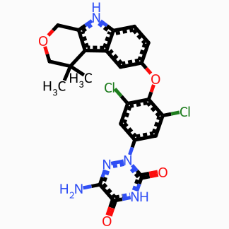 CC1(C)COCc2[nH]c3ccc(Oc4c(Cl)cc(-n5nc(N)c(=O)[nH]c5=O)cc4Cl)cc3c21